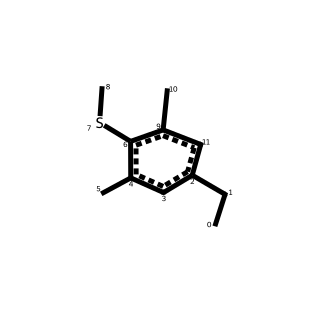 CCc1cc(C)c(SC)c(C)c1